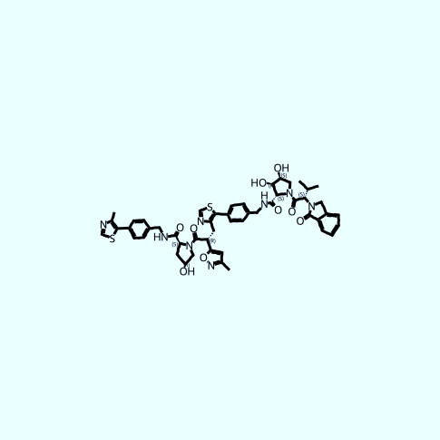 Cc1cc([C@@H](Cc2ncsc2-c2ccc(CNC(=O)[C@@H]3[C@@H](O)[C@@H](O)CN3C(=O)[C@H](C(C)C)N3Cc4ccccc4C3=O)cc2)C(=O)N2C[C@H](O)C[C@H]2C(=O)NCc2ccc(-c3scnc3C)cc2)on1